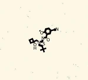 COc1ccc(C#N)cc1C(=O)N=c1sc(C(C)(C)C)cn1CC1(O)CCC1